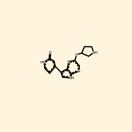 O=c1cc(-c2c[nH]c3ncc(OC4CCNC4)nc23)cc[nH]1